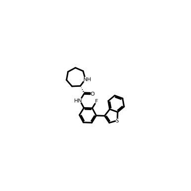 O=C(Nc1cccc(-c2csc3ccccc23)c1F)[C@@H]1CCCCCN1